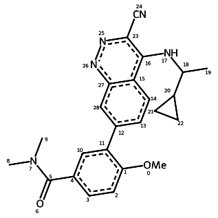 COc1ccc(C(=O)N(C)C)cc1-c1ccc2c(NC(C)C3CC3)c(C#N)nnc2c1